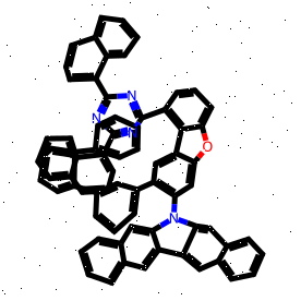 c1ccc(-c2ccccc2-c2cccc(-c3cc4c(cc3-n3c5cc6ccccc6cc5c5cc6ccccc6cc53)oc3cccc(-c5nc(-c6cccc7ccccc67)nc(-c6cccc7ccccc67)n5)c34)c2)cc1